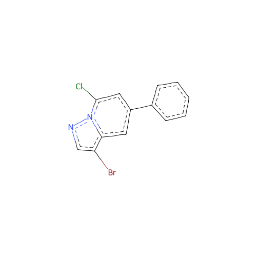 Clc1cc(-c2ccccc2)cc2c(Br)cnn12